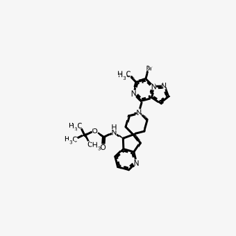 Cc1nc(N2CCC3(CC2)Cc2ncccc2[C@H]3NC(=O)OC(C)(C)C)c2ccnn2c1Br